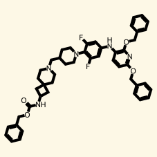 O=C(NC1CC2(CCN(CC3CCN(c4c(F)cc(Nc5ccc(OCc6ccccc6)nc5OCc5ccccc5)cc4F)CC3)CC2)C1)OCc1ccccc1